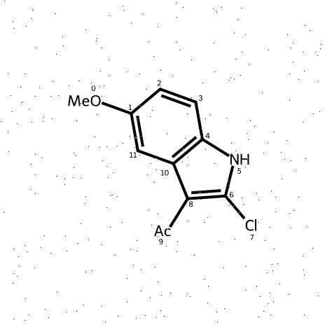 COc1ccc2[nH]c(Cl)c(C(C)=O)c2c1